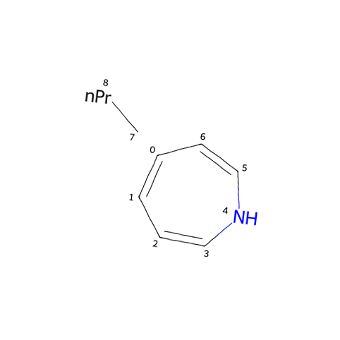 C1=CC=CNC=C1.CCCC